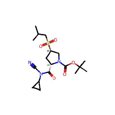 CC(C)CS(=O)(=O)[C@@H]1C[C@@H](C(=O)N(C#N)C2CC2)N(C(=O)OC(C)(C)C)C1